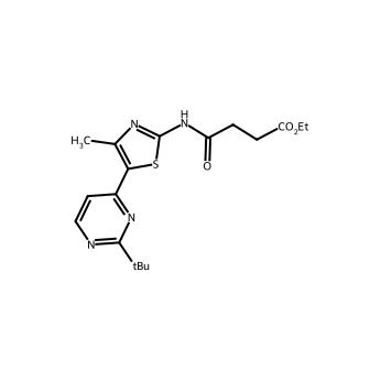 CCOC(=O)CCC(=O)Nc1nc(C)c(-c2ccnc(C(C)(C)C)n2)s1